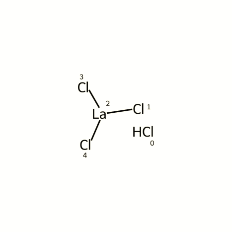 Cl.[Cl][La]([Cl])[Cl]